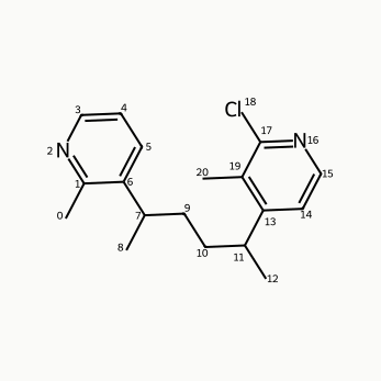 Cc1ncccc1C(C)CCC(C)c1ccnc(Cl)c1C